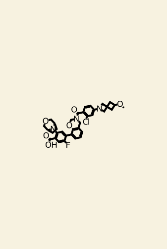 COC1CC2(C1)CN(c1ccc(C(=O)N3COc4c(cccc4-c4cc(N5C6CCC5COC6)c(C(=O)O)cc4F)C3)c(Cl)c1)C2